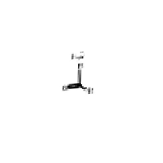 CC[C](=O)[Na].O